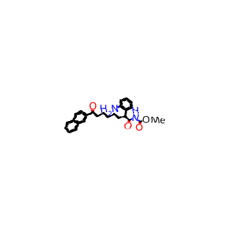 COC(=O)NC(=O)C(CCCCCC(=O)c1ccc2ccccc2c1)c1ccccc1N